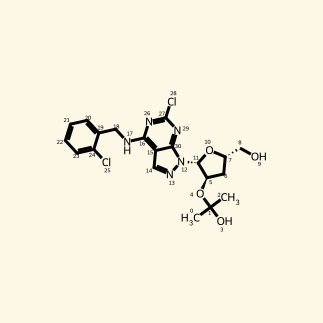 CC(C)(O)O[C@@H]1C[C@@H](CO)O[C@H]1n1ncc2c(NCc3ccccc3Cl)nc(Cl)nc21